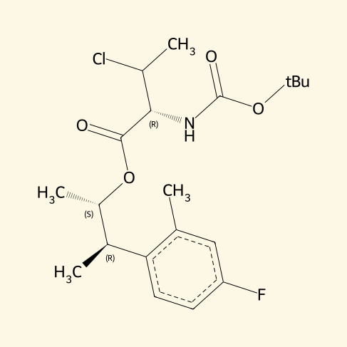 Cc1cc(F)ccc1[C@@H](C)[C@H](C)OC(=O)[C@@H](NC(=O)OC(C)(C)C)C(C)Cl